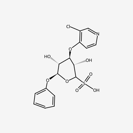 O=S(=O)(O)C1O[C@@H](Oc2ccccc2)[C@H](O)[C@@H](Oc2ccncc2Cl)[C@@H]1O